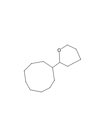 C1CCCCC(C2CCCCO2)CCC1